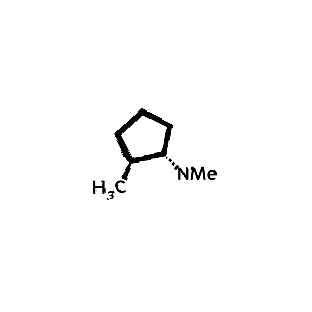 CN[C@H]1CCC[C@@H]1C